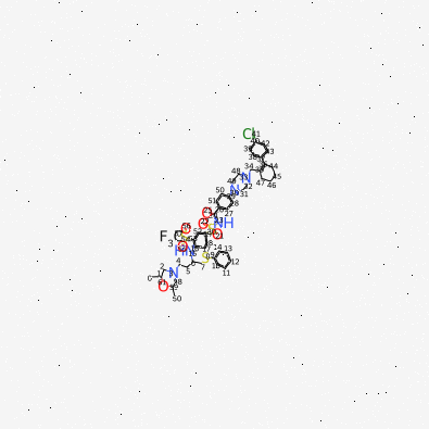 CC1CN(CC[C@H](CSc2ccccc2)Nc2ccc(S(=O)(=O)NC(=O)c3ccc(N4CCN(CC5=C(c6ccc(Cl)cc6)CCCC5)CC4)cc3)cc2S(=O)(=O)C(F)(F)F)CC(C)O1